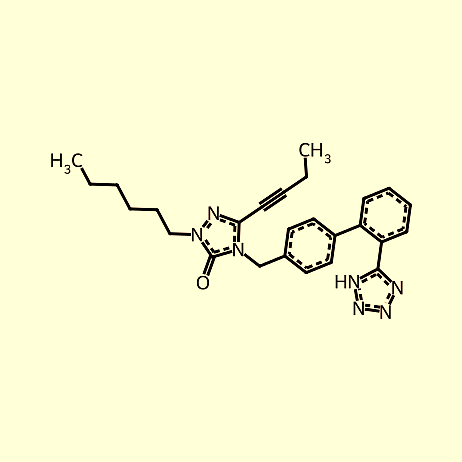 CCC#Cc1nn(CCCCCC)c(=O)n1Cc1ccc(-c2ccccc2-c2nnn[nH]2)cc1